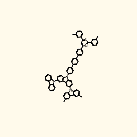 Cc1cccc(-c2cc(-c3ccc(-c4ccc(-c5ccc(-n6c7ccc(-n8c9ccccc9c9ccccc98)cc7c7cc(-n8c9ccc(C)cc9c9cc(C)ccc98)ccc76)cc5)cc4)cc3)nc(-c3cccc(C)c3)n2)c1